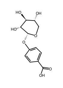 O=C(O)c1ccc(O[C@H]2OC[C@@H](O)[C@H](O)[C@H]2O)cc1